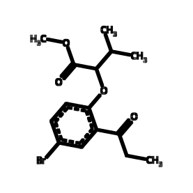 CCC(=O)c1cc(Br)ccc1OC(C(=O)OC)C(C)C